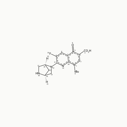 CC(C)(C)n1cc(C(=O)O)c(=O)c2cc(F)c(N3C[C@@H]4C[C@H]3CN4)nc21